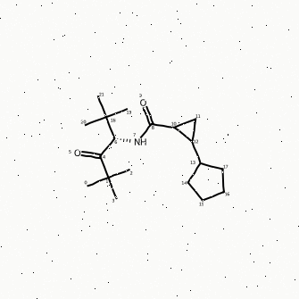 CC(C)(C)C(=O)[C@@H](NC(=O)C1CC1C1CCCC1)C(C)(C)C